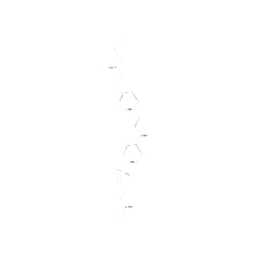 CCNC(=O)COc1ccc(/C=C/C(=O)c2ccc(S(=O)(=O)NCCC(=O)O)cc2)cc1